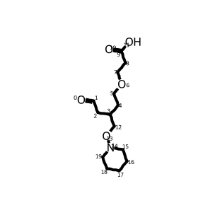 O=CCC(CCOCCC(=O)O)CON1CCCCC1